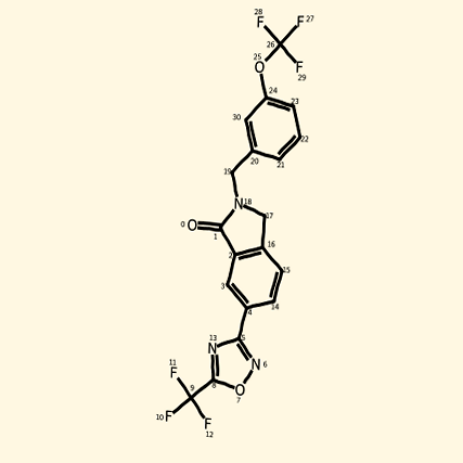 O=C1c2cc(-c3noc(C(F)(F)F)n3)ccc2CN1Cc1cccc(OC(F)(F)F)c1